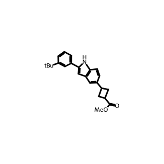 COC(=O)C1CC(c2ccc3[nH]c(-c4cccc(C(C)(C)C)c4)cc3c2)C1